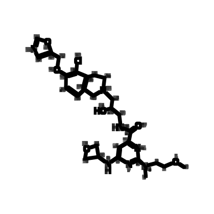 COCCN(C)c1nc(NC2COC2)cc(C(=O)NCC(O)CN2CCc3c(ccc(OCc4cnco4)c3Cl)C2)n1